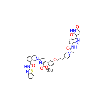 Cc1c(OCCCC2CCN(C(C)C(=O)Nc3cccc4c(C5CCC(=O)NC5=O)nn(C)c34)CC2)cccc1-c1ccc(N2CCc3cccc(C(=O)Nc4nc5ccccc5s4)c3C2)nc1C(=O)OC(C)(C)C